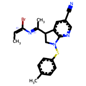 C/C=C(Br)\N=C(/C)C1CN(Sc2ccc(C)cc2)c2ncc(C#N)cc21